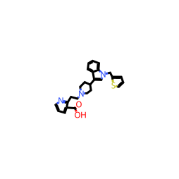 O=C(O)c1cccnc1CCN1CCC(c2cn(Cc3cccs3)c3ccccc23)CC1